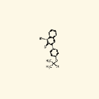 CCC(C)(C)Oc1ccc(-c2cc3ccccc3n(C(C)C)c2=S)cc1